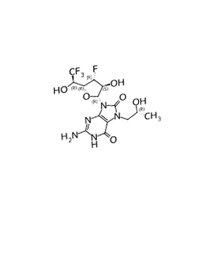 C[C@@H](O)Cn1c(=O)n([C@@H]2O[C@H]([C@@H](O)C(F)(F)F)[C@H](F)[C@H]2O)c2nc(N)[nH]c(=O)c21